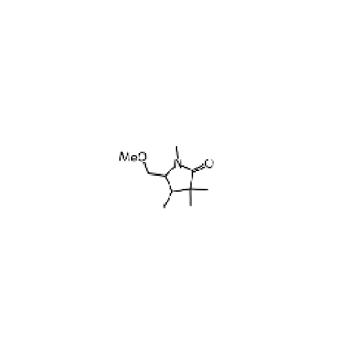 COCC1C(C)C(C)(C)C(=O)N1C